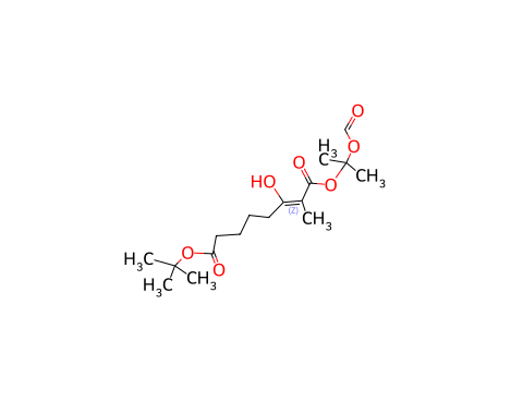 C/C(C(=O)OC(C)(C)OC=O)=C(/O)CCCCC(=O)OC(C)(C)C